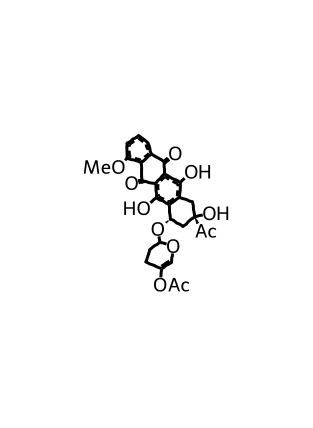 COc1cccc2c1C(=O)c1c(O)c3c(c(O)c1C2=O)C[C@@](O)(C(C)=O)C[C@@H]3OC1CCC(OC(C)=O)=CO1